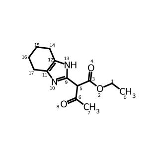 CCOC(=O)C(C(C)=O)c1nc2c([nH]1)CCCC2